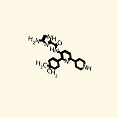 CC1(C)CC=C(c2nc(C3CCNCC3)ccc2NC(=O)c2nc(N)c[nH]2)CC1